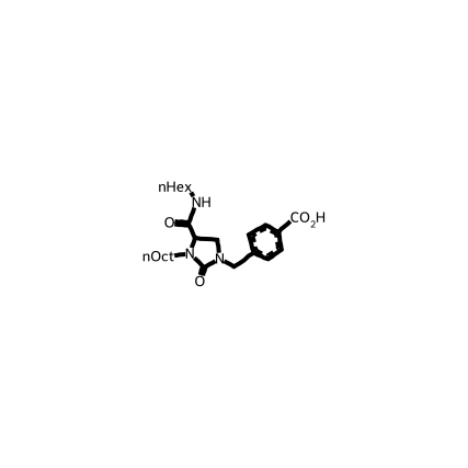 CCCCCCCCN1C(=O)N(Cc2ccc(C(=O)O)cc2)CC1C(=O)NCCCCCC